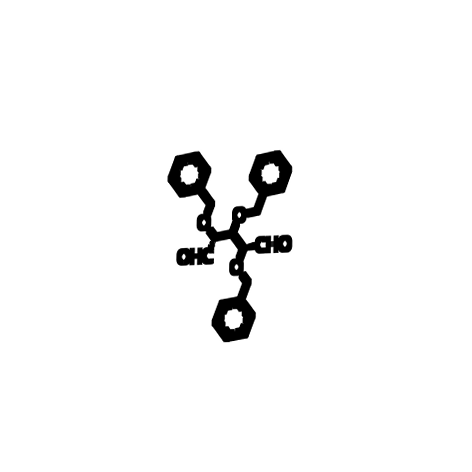 O=C[C@H](OCc1ccccc1)C(OCc1ccccc1)[C@@H](C=O)OCc1ccccc1